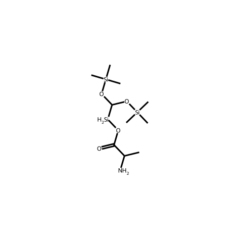 CC(N)C(=O)O[SiH2]C(O[Si](C)(C)C)O[Si](C)(C)C